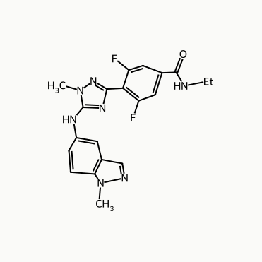 CCNC(=O)c1cc(F)c(-c2nc(Nc3ccc4c(cnn4C)c3)n(C)n2)c(F)c1